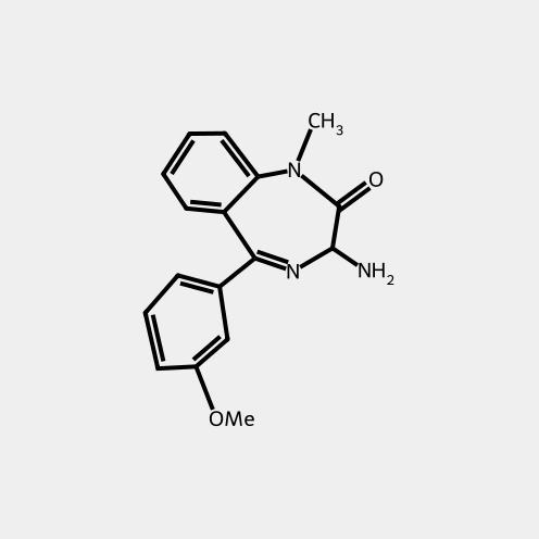 COc1cccc(C2=NC(N)C(=O)N(C)c3ccccc32)c1